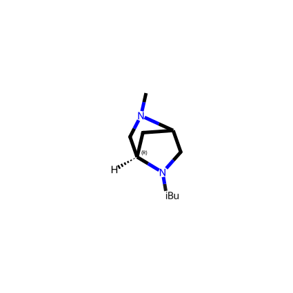 CCC(C)N1CC2C[C@@H]1CN2C